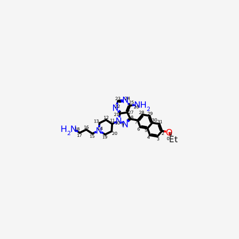 CCOc1ccc2cc(-c3nn(C4CCN(CCCN)CC4)c4ncnc(N)c34)ccc2c1